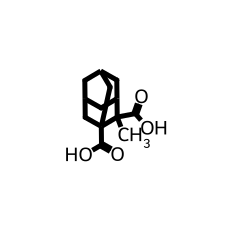 CC1(C(=O)O)C2CC3CC(C2)CC1(C(=O)O)C3